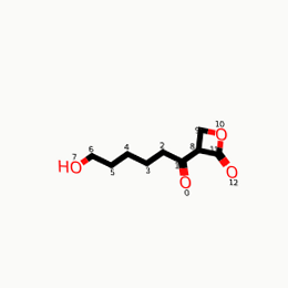 O=C(CCCCCO)C1COC1=O